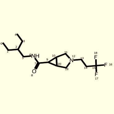 CCC(CC)CNC(=O)C1C2CN(CCC(F)(F)F)CC21